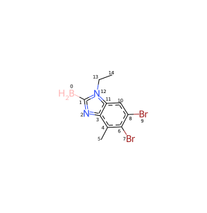 Bc1nc2c(C)c(Br)c(Br)cc2n1CC